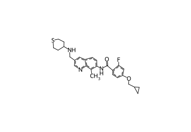 Cc1c(NC(=O)c2ccc(OCC3CC3)cc2F)ccc2cc(CNC3CCSCC3)cnc12